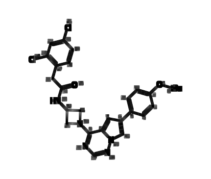 CC(C)(C)Oc1ccc(-c2cc3c(N4CC(NC(=O)Cc5ccc(Cl)cc5Cl)C4)ncnn3c2)cc1